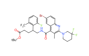 Cc1c(N2CCCC(F)(F)C2)nc2ccc(Br)cc2c1C(=O)NCC(CCC(=O)OC(C)(C)C)c1c(F)cccc1C(F)(F)F